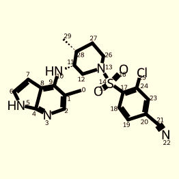 Cc1cnc2[nH]ccc2c1N[C@H]1CN(S(=O)(=O)c2ccc(C#N)cc2Cl)CC[C@H]1C